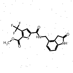 COC(=O)c1sc(C(=O)NCc2cccc3c2CC(=O)N3)cc1C(F)(F)F